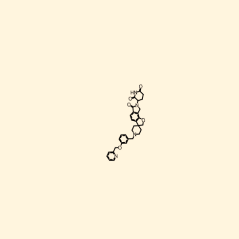 O=C1CCC(N2Cc3c(ccc4c3OCC43CCN(Cc4cccc(OCc5ccccn5)c4)CC3)C2=O)C(=O)N1